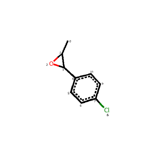 CC1OC1c1ccc(Cl)cc1